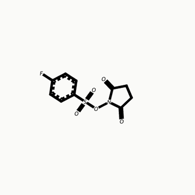 O=C1CCC(=O)N1OS(=O)(=O)c1ccc(F)cc1